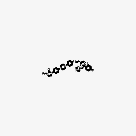 CC(C)N1CCN(c2ccc(N3CCN(c4ccc(OCC[C@H]5CO[C@](Cn6cncn6)(c6ccc(F)cc6F)O5)cc4)CC3)cc2)C1=O